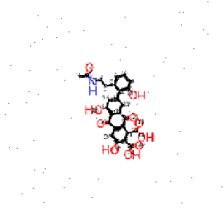 CC(=O)NCCc1cccc(O)c1-c1cc(O)c2c(c1)C(=O)c1c(cc(O)c(C(=O)O)c1C(=O)O)C2=O